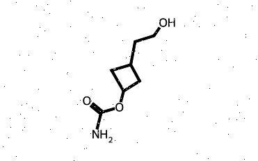 NC(=O)OC1CC(CCO)C1